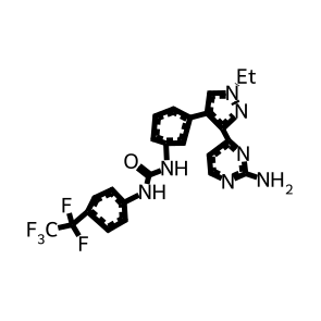 CCn1cc(-c2cccc(NC(=O)Nc3ccc(C(F)(F)C(F)(F)F)cc3)c2)c(-c2ccnc(N)n2)n1